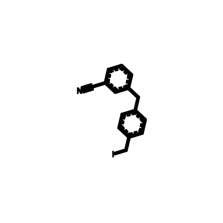 N#Cc1cccc(Cc2ccc(CI)cc2)c1